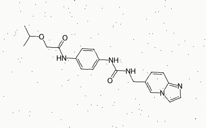 CC(C)OCC(=O)Nc1ccc(NC(=O)NCc2ccc3nccn3c2)cc1